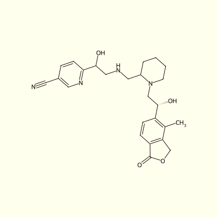 Cc1c([C@@H](O)CN2CCCCC2CNCC(O)c2ccc(C#N)cn2)ccc2c1COC2=O